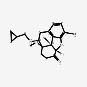 CO[C@]12CCC(=O)[C@H]3Oc4c(O)ccc(c4[C@]31C)C[C@@H]2NCC1CC1